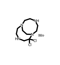 ClC1(Cl)CNCCN2CCNCCN1CC2.[Mn]